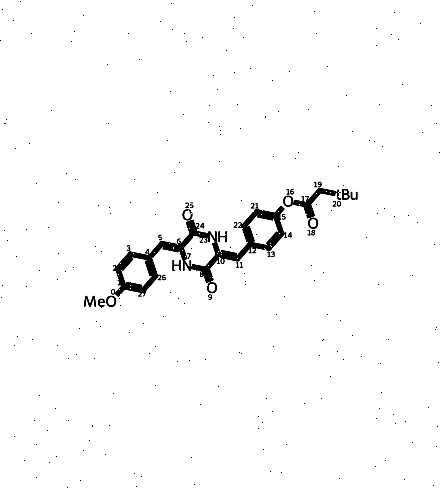 COc1ccc(/C=c2\[nH]c(=O)/c(=C/c3ccc(OC(=O)CC(C)(C)C)cc3)[nH]c2=O)cc1